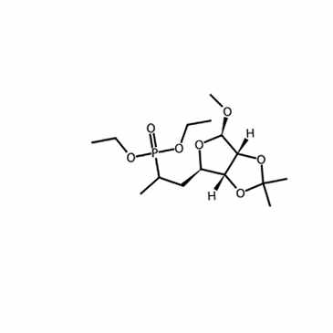 CCOP(=O)(OCC)C(C)C[C@H]1O[C@@H](OC)[C@@H]2OC(C)(C)O[C@@H]21